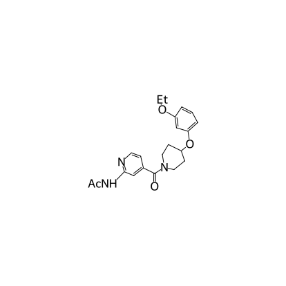 CCOc1cccc(OC2CCN(C(=O)c3ccnc(NC(C)=O)c3)CC2)c1